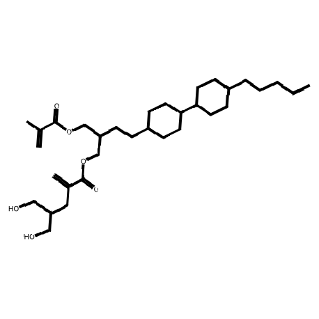 C=C(C)C(=O)OCC(CCC1CCC(C2CCC(CCCCC)CC2)CC1)COC(=O)C(=C)CC(CO)CO